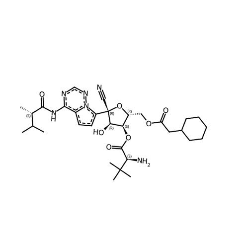 CC(C)[C@H](C)C(=O)Nc1ncnn2c([C@]3(C#N)O[C@H](COC(=O)CC4CCCCC4)[C@@H](OC(=O)[C@@H](N)C(C)(C)C)[C@H]3O)ccc12